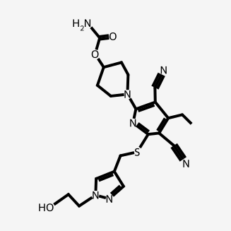 CCc1c(C#N)c(SCc2cnn(CCO)c2)nc(N2CCC(OC(N)=O)CC2)c1C#N